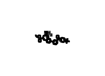 CCOC(=O)C1=Cc2ccc(-c3cccc(C(=O)N4CCN(C(C)(C)C)CC4)c3)cc2N=C(N)C1